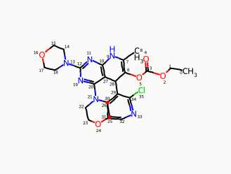 CCOC(=O)OC1=C(C)Nc2nc(N3CCOCC3)nc(N3CCOCC3)c2C1c1cccnc1Cl